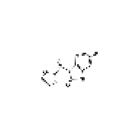 O=C1Nc2cc(F)ccc2C1C(=O)c1ccco1